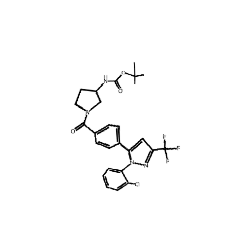 CC(C)(C)OC(=O)NC1CCN(C(=O)c2ccc(-c3cc(C(F)(F)F)nn3-c3ccccc3Cl)cc2)C1